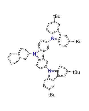 CC(C)(C)c1ccc2c(c1)c1cc(C(C)(C)C)ccc1n2-c1ccc2c(c1)c1cc(-n3c4ccc(C(C)(C)C)cc4c4cc(C(C)(C)C)ccc43)ccc1n2-c1ccc2ccccc2c1